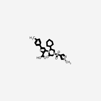 Cc1ccc(-c2cc(N3C(=O)CN(S(=O)(=O)c4cnn(C)c4)CC3C3CCCCC3)c(C(=O)O)s2)cc1